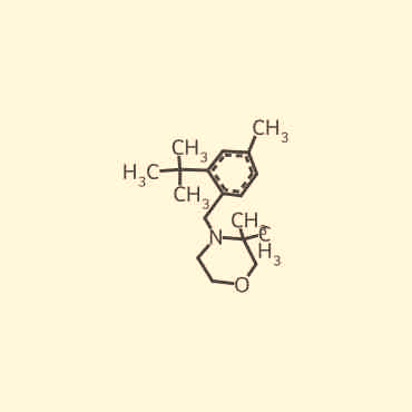 Cc1ccc(CN2CCOCC2(C)C)c(C(C)(C)C)c1